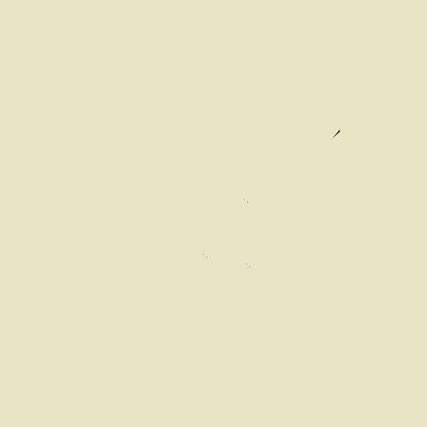 Cc1nc(CN2CCC(O)CC2)c2nc([C@H]3CC[C@H](C)CC3)sc2n1